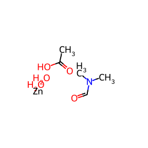 CC(=O)O.CN(C)C=O.O.O.[Zn]